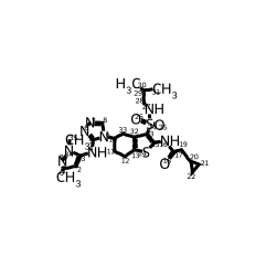 Cc1cc(Nc2nncn2C2CCc3sc(NC(=O)CC4CC4)c(S(=O)(=O)NCC(C)C)c3C2)n(C)n1